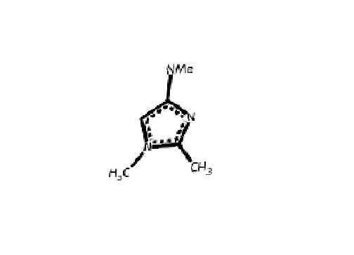 CNc1cn(C)c(C)n1